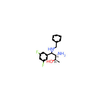 C[C@@H](O)[C@@H](N)C(NCc1ccccc1)c1cc(F)cc(F)c1